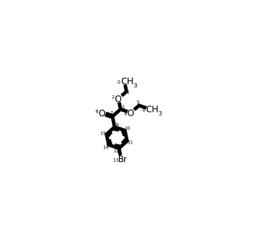 CCOC(OCC)C(=O)c1ccc(Br)cc1